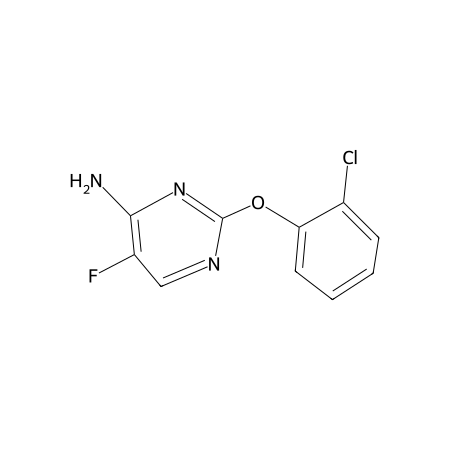 Nc1nc(Oc2ccccc2Cl)ncc1F